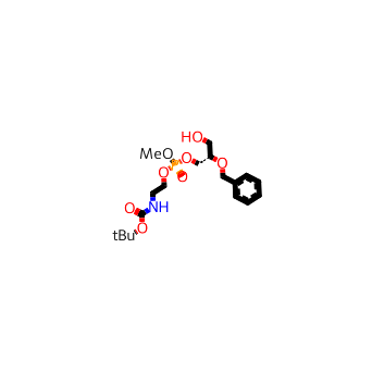 COP(=O)(OCCNC(=O)OC(C)(C)C)OC[C@H](CO)OCc1ccccc1